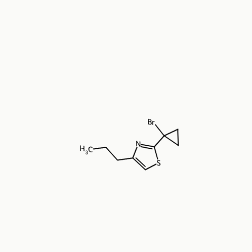 CCCc1csc(C2(Br)CC2)n1